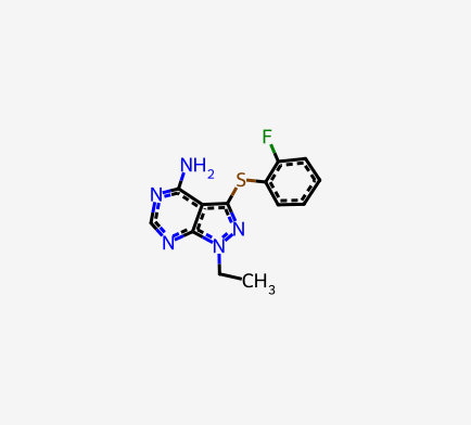 CCn1nc(Sc2ccccc2F)c2c(N)ncnc21